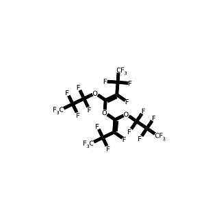 FC(=C(OC(OC(F)(F)C(F)(F)C(F)(F)F)=C(F)C(F)(F)C(F)(F)F)OC(F)(F)C(F)(F)C(F)(F)F)C(F)(F)C(F)(F)F